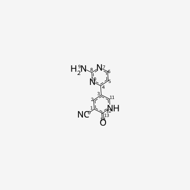 N#Cc1cc(-c2ccnc(N)n2)c[nH]c1=O